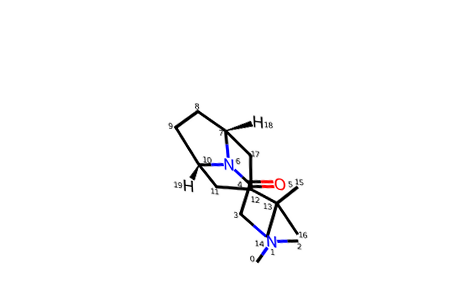 CN(C)CC(=O)N1[C@@H]2CC[C@H]1CC(C(C)(C)C)C2